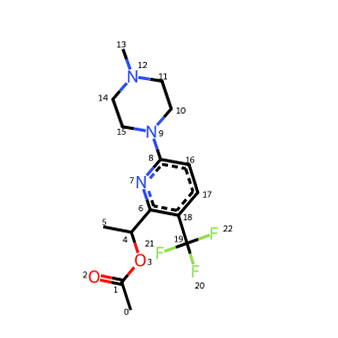 CC(=O)OC(C)c1nc(N2CCN(C)CC2)ccc1C(F)(F)F